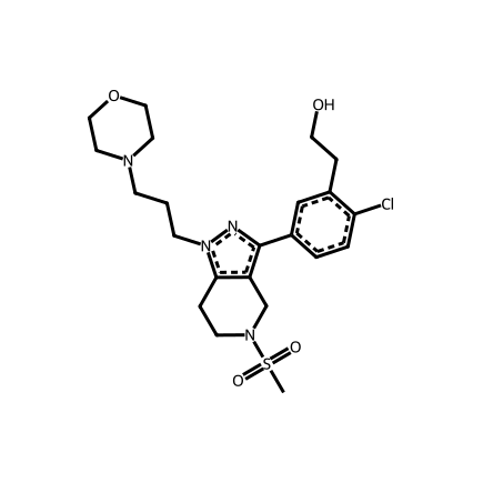 CS(=O)(=O)N1CCc2c(c(-c3ccc(Cl)c(CCO)c3)nn2CCCN2CCOCC2)C1